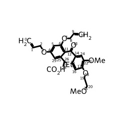 C=CCOc1cc(OCC=C)c(C(=O)c2ccc(OCCOC)c(OC)c2)c(C(CC)C(=O)O)c1